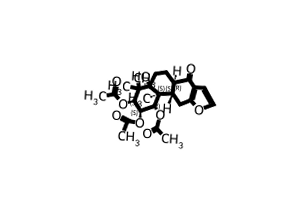 CC(=O)O[C@H]1[C@@H](OC(C)=O)C(C)(C)[C@]2(O)CC[C@H]3C(=O)c4ccoc4C[C@@H]3[C@@]2(C)[C@H]1OC(C)=O